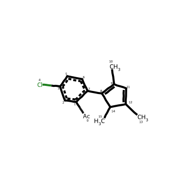 CC(=O)c1cc(Cl)ccc1C1=C(C)C=C(C)C1C